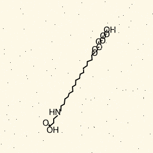 O=C(O)CCCNCCCCCCCCCCCCCCCCCCOOOOOOOO